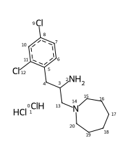 Cl.Cl.NC(Cc1ccc(Cl)cc1Cl)CN1CCCCCC1